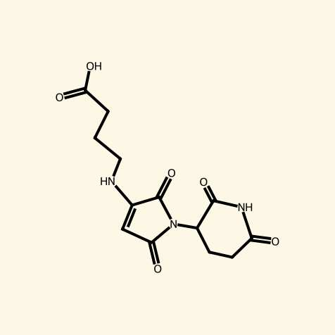 O=C(O)CCCNC1=CC(=O)N(C2CCC(=O)NC2=O)C1=O